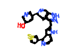 Oc1cncc(-c2cc3c(-c4cc5c(-c6ccsc6)nccc5[nH]4)n[nH]c3cn2)c1